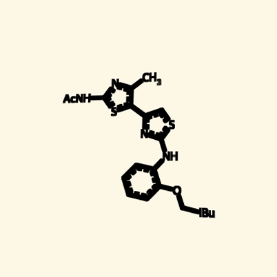 CCC(C)COc1ccccc1Nc1nc(-c2sc(NC(C)=O)nc2C)cs1